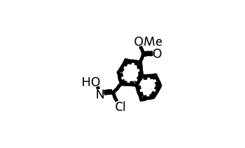 COC(=O)c1ccc(/C(Cl)=N\O)c2ccccc12